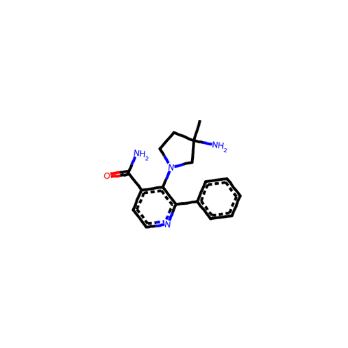 CC1(N)CCN(c2c(C(N)=O)ccnc2-c2ccccc2)C1